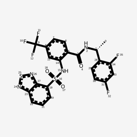 C[C@@H](NC(=O)c1ccc(C(F)(F)F)cc1NS(=O)(=O)c1cccc2nsnc12)c1ccc(F)cc1F